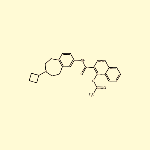 O=C(Nc1ccc2c(c1)CCN(C1CCC1)CC2)c1ccc2ccccc2c1OC(=O)C(F)(F)F